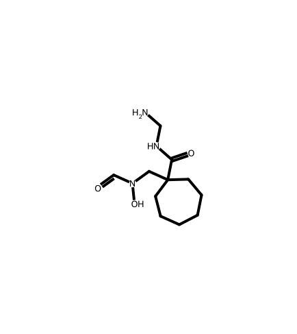 NCNC(=O)C1(CN(O)C=O)CCCCCC1